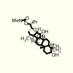 CNC(=O)O[C@H](C(C)C)[C@H]1C[C@@H](C)[C@H]2[C@H](O1)[C@H](O)[C@@]1(C)[C@@H]3CC[C@H]4C(C)(C)[C@@H](O)CCC45C[C@@]35CC[C@]21C